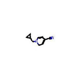 N#CC1=CCN(CC2CC2)C=C1